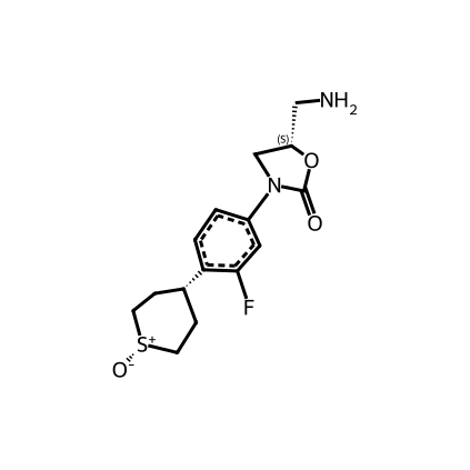 NC[C@H]1CN(c2ccc([C@H]3CC[S@@+]([O-])CC3)c(F)c2)C(=O)O1